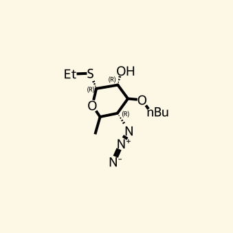 CCCCOC1[C@H](N=[N+]=[N-])C(C)O[C@H](SCC)[C@@H]1O